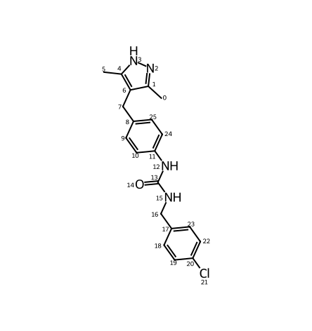 Cc1n[nH]c(C)c1Cc1ccc(NC(=O)NCc2ccc(Cl)cc2)cc1